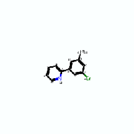 CC(C)(C)c1cc(Br)cc(-c2ccccn2)c1